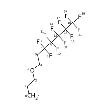 [CH2]CCOCCC(F)(F)C(F)(F)C(F)(F)C(F)(F)C(F)(F)F